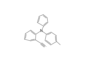 [C]#Cc1ccccc1N(c1ccccc1)c1ccc(C)cc1